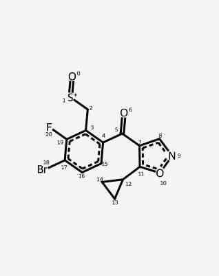 O=[S+]Cc1c(C(=O)c2cnoc2C2CC2)ccc(Br)c1F